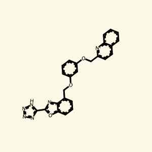 c1cc(OCc2ccc3ccccc3n2)cc(OCc2cccc3oc(-c4nnn[nH]4)nc23)c1